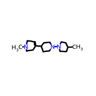 CC1CCN(N2CCC(C3=CCN(C)CC3)CC2)CC1